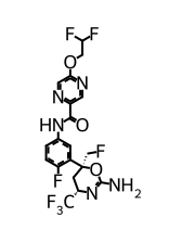 NC1=N[C@H](C(F)(F)F)C[C@@](CF)(c2cc(NC(=O)c3cnc(OCC(F)F)cn3)ccc2F)O1